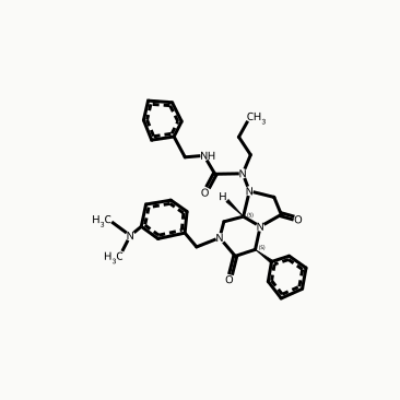 CCCN(C(=O)NCc1ccccc1)N1CC(=O)N2[C@@H](c3ccccc3)C(=O)N(Cc3cccc(N(C)C)c3)C[C@@H]21